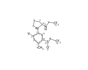 Cc1cc(F)c(N2CCCC2NCC(F)(F)F)cc1[S+]([O-])CC(F)(F)F